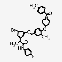 Cc1ccc(C(=O)N2CCC(OC3=CC=C(COc4cc(Br)cc(C(C)C(=O)NC5=CCC(F)C=C5)c4)CC3C)CC2)cc1